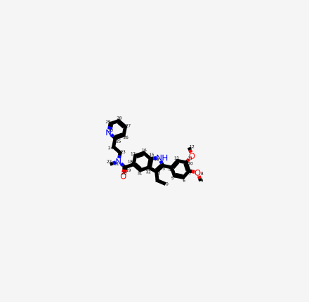 CCc1c(-c2ccc(OC)c(OC)c2)[nH]c2ccc(C(=O)N(C)CCc3ccccn3)cc12